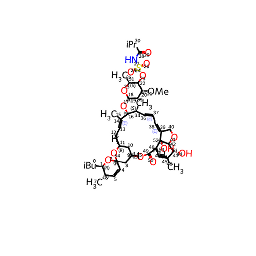 CCC(C)[C@H]1O[C@]2(C=C[C@@H]1C)C[C@@H]1C[C@@H](C/C=C(\C)[C@@H](O[C@H]3C[C@H](OC)C(OS(=O)(=O)NC(=O)C(C)C)[C@H](C)O3)[C@@H](C)/C=C/C=C3\COC4[C@H](O)C(C)=C[C@@H](C(=O)O1)[C@]34O)O2